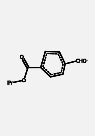 CC(C)OC(=O)c1ccc([C]=O)cc1